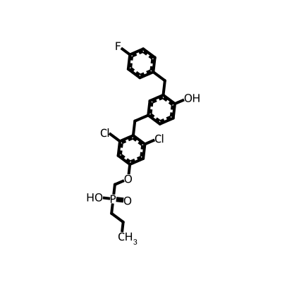 CCCP(=O)(O)COc1cc(Cl)c(Cc2ccc(O)c(Cc3ccc(F)cc3)c2)c(Cl)c1